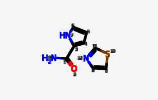 NC(=O)c1ccc[nH]1.c1cscn1